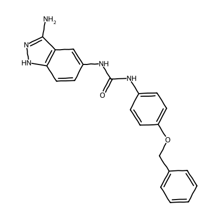 Nc1n[nH]c2ccc(NC(=O)Nc3ccc(OCc4ccccc4)cc3)cc12